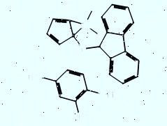 CC(C)(C)c1ccc(O)c(C(C)(C)C)c1.C[Si]1(C)C2=CC=C[C]21[Zr][CH]1c2ccccc2-c2ccccc21